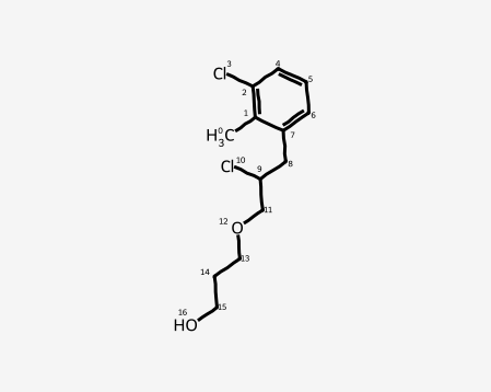 Cc1c(Cl)cccc1CC(Cl)COCCCO